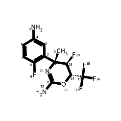 C[C@]1(c2cc(N)ccc2F)N=C(N)O[C@@H](C(F)(F)F)[C@@H]1F